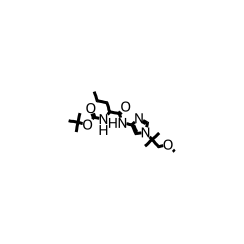 CCCC(NC(=O)OC(C)(C)C)C(=O)Nc1cn(C(C)(C)COC)cn1